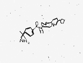 CC(C)(CN)c1ccc(C(=O)Nc2cn3cc(Cl)ccc3n2)cc1